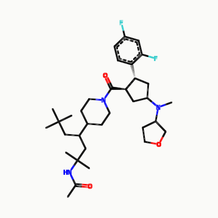 CC(=O)NC(C)(C)CC(CC(C)(C)C)C1CCN(C(=O)[C@@H]2CC(N(C)C3CCOC3)C[C@H]2c2ccc(F)cc2F)CC1